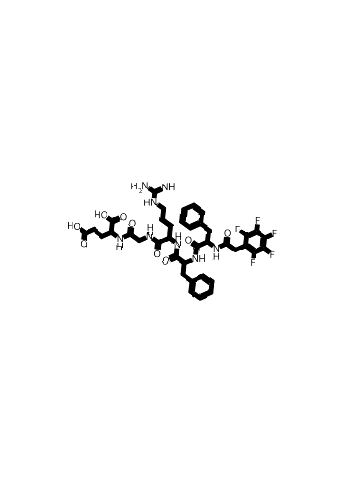 N=C(N)NCCCC(NC(=O)C(Cc1ccccc1)NC(=O)C(Cc1ccccc1)NC(=O)Cc1c(F)c(F)c(F)c(F)c1F)C(=O)NCC(=O)NC(CCC(=O)O)C(=O)O